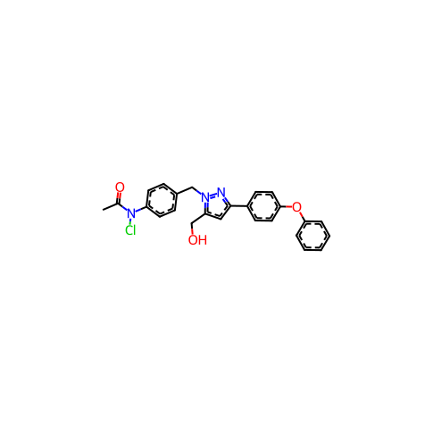 CC(=O)N(Cl)c1ccc(Cn2nc(-c3ccc(Oc4ccccc4)cc3)cc2CO)cc1